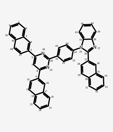 c1ccc2cc(-c3cc(-c4ccc5ccccc5c4)nc(-c4ccc(-n5c(-c6ccc7ccccc7c6)nc6ccccc65)cc4)n3)ccc2c1